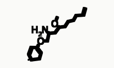 C=CCCCCC(CC(N)COC1=CC[CH]C=C1)OC